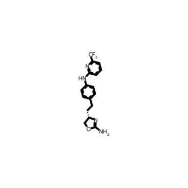 NC1=N[C@@H](CCc2ccc(Nc3cccc(C(F)(F)F)n3)cc2)CO1